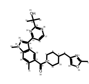 Cc1nc(CC2CCN(C(=O)c3cc4c(-c5ccnc(C(C)(C)O)n5)nn(C)c4cc3C)CC2)co1